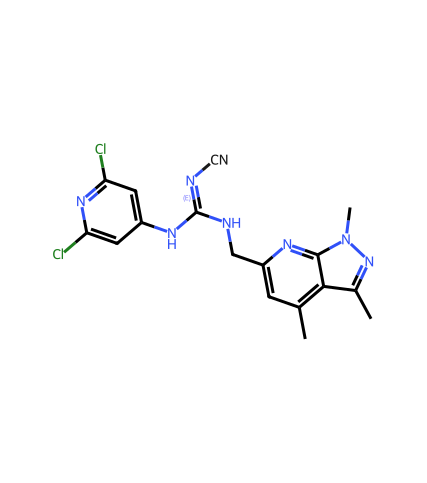 Cc1cc(CN/C(=N\C#N)Nc2cc(Cl)nc(Cl)c2)nc2c1c(C)nn2C